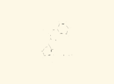 CCCCCCOc1c(CC)cccc1C(=O)Oc1ccccc1C(=O)O